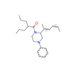 C/C=C\C=C(/C)C1CN(c2ccccc2)CCN1C(=O)C(CCC)CCC